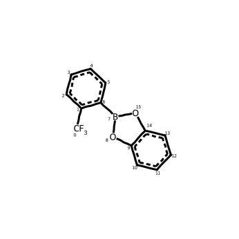 FC(F)(F)c1ccccc1B1Oc2ccccc2O1